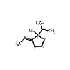 C/N=C1\CCC[N+]1(C)C(C)C